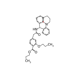 CCCOC(=O)c1ccc(CC(=O)NC(c2ccccc2)c2ccccc2N2CCCCC2)cc1OCCC